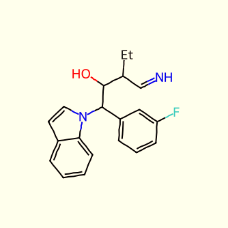 CCC(C=N)C(O)C(c1cccc(F)c1)n1ccc2ccccc21